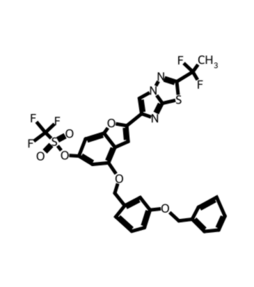 CC(F)(F)c1nn2cc(-c3cc4c(OCc5cccc(OCc6ccccc6)c5)cc(OS(=O)(=O)C(F)(F)F)cc4o3)nc2s1